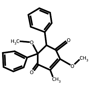 COC1=C(C)C(=O)C(OC)(c2ccccc2)C(c2ccccc2)C1=O